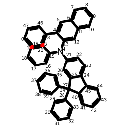 c1ccc(-c2cc3ccccc3cc2N(c2ccccc2)c2ccc3c(c2)C(c2ccccc2)(c2ccccc2)c2ccccc2-3)cc1